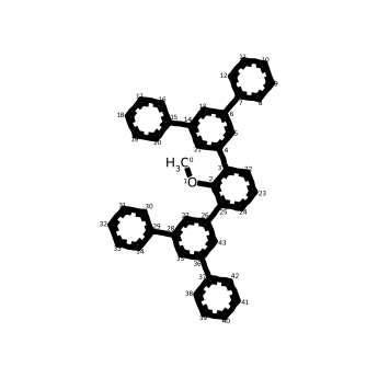 COc1c(-c2cc(-c3ccccc3)cc(-c3ccccc3)c2)cccc1-c1cc(-c2ccccc2)cc(-c2ccccc2)c1